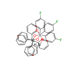 [O]=[V]([O][SiH3])([O][Si](c1ccccc1)(c1ccccc1)c1ccccc1)([O][Si](c1ccccc1)(c1ccccc1)c1ccccc1)([c]1ccc(F)cc1)([c]1ccc(F)cc1)[c]1ccc(F)cc1